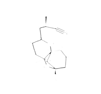 C[C@@H](C#N)CC1CC[C@@H]2O[C@H]3CCC[C@@]2(C3)O1